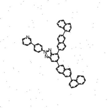 c1cncc(-c2ccc(-n3nc4cc(-c5ccc6cc(-c7cccc8ccccc78)ccc6c5)cc(-c5ccc6cc(-c7cccc8ccccc78)ccc6c5)c4n3)cc2)c1